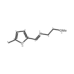 COCC/N=C/c1ccc(C)o1